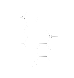 C=C/C(=C\CC(C)Sc1cc(N(C)C)cc(C)c1N)N(C)C